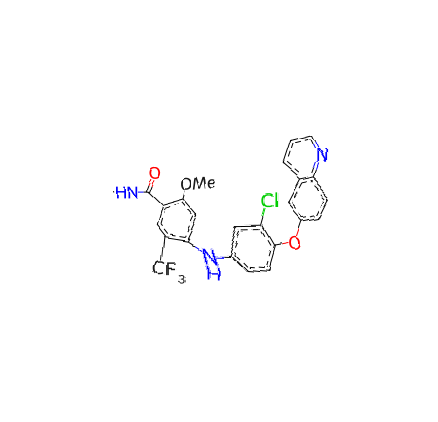 COc1cc(Nc2ccc(Oc3ccc4ncccc4c3)c(Cl)c2)c(C(F)(F)F)cc1C([NH])=O